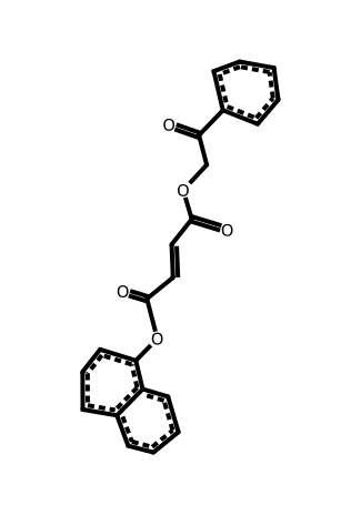 O=C(/C=C/C(=O)Oc1cccc2ccccc12)OCC(=O)c1ccccc1